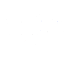 C=C(c1ccc(-c2nc3cc(C(F)(F)F)ncc3n2C)c(S(=O)(=O)CC)c1)C(F)(F)F